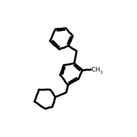 Cc1cc(CC2CCCCC2)ccc1Cc1ccccc1